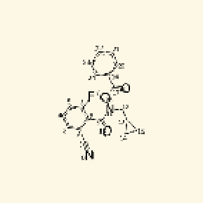 N#Cc1cccc(F)c1C(=O)N(CC1CC1)OC(=O)c1ccccc1